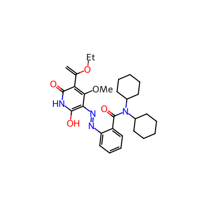 C=C(OCC)c1c(OC)c(/N=N/c2ccccc2C(=O)N(C2CCCCC2)C2CCCCC2)c(O)[nH]c1=O